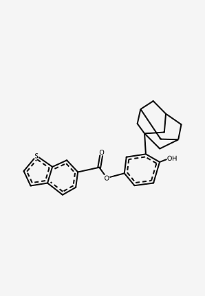 O=C(Oc1ccc(O)c(C23CC4CC(CC(C4)C2)C3)c1)c1ccc2ccsc2c1